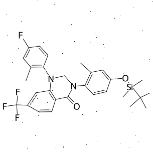 Cc1cc(O[Si](C)(C)C(C)(C)C)ccc1N1CN(c2ccc(F)cc2C)c2cc(C(F)(F)F)ccc2C1=O